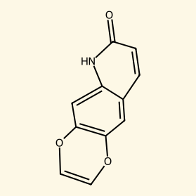 O=c1ccc2cc3c(cc2[nH]1)OC=CO3